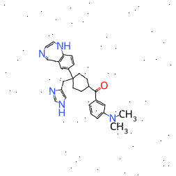 CN(C)c1cccc(C(=O)C2CCC(Cc3c[nH]cn3)(c3ccc4c(c3)C=NC=CN4)CC2)c1